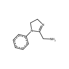 NCC1=NCCN1c1ccccc1